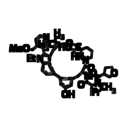 CCn1c(-c2cnccc2COC)c2c3cc(ccc31)-c1cc(O)cc(c1)C[C@H](NC(=O)[C@H](C(C)C)N(C)C(=O)[C@H]1CCOC1)C(=O)N1CCC[C@@](C(=O)O)(COCC(C)(C)C2)N1